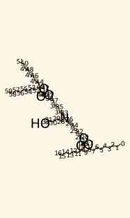 CCCCCCCCC(CCCCCCCC)OC(=O)OCCCCCCN(CCCCO)CCCCCCOC(=O)OC(CCCCCCCC)CCCCCCCC